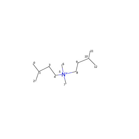 CC(C)CC[N+](C)(C)CCC(C)C